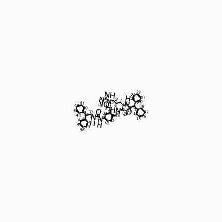 N/C(=N/[N+](=O)[O-])NCCC[C@@H](NC(=O)C(c1ccccc1)c1ccccc1)C(=O)NCc1ccc(NC(=O)NCC(c2ccccc2)c2ccccc2)cc1